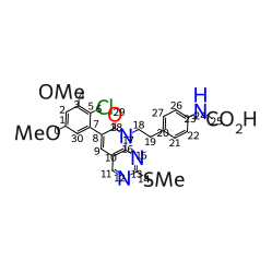 COc1cc(OC)c(Cl)c(-c2cc3cnc(SC)nc3n(CCc3ccc(NC(=O)O)cc3)c2=O)c1